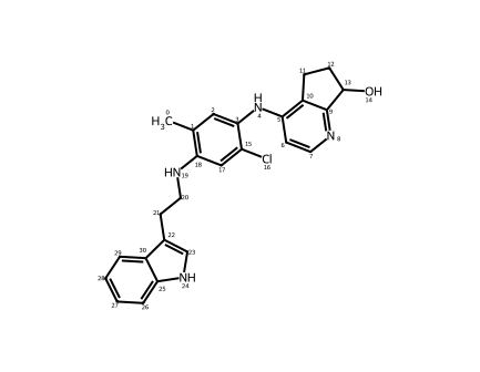 Cc1cc(Nc2ccnc3c2CCC3O)c(Cl)cc1NCCc1c[nH]c2ccccc12